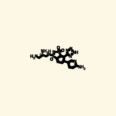 NC[C@H](N)CNS1(=O)=NS(=O)(=O)c2c1ccc(-c1ccc(N)nc1)c2-c1nn[nH]n1